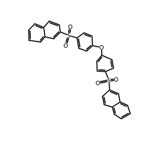 O=S(=O)(c1ccc(Oc2ccc(S(=O)(=O)c3ccc4ccccc4c3)cc2)cc1)c1ccc2ccccc2c1